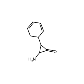 NC1C(=O)C1C1C=CC=CC1